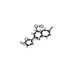 Cc1ccc2nc(-c3ccc(C)o3)cc(C=O)c2c1